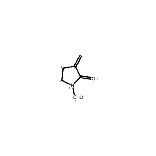 C=C1CCN(C=O)C1=O